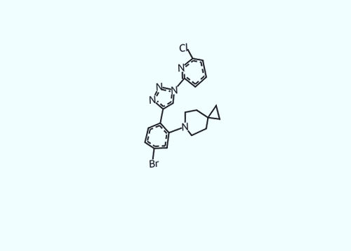 Clc1cccc(-n2cc(-c3ccc(Br)cc3N3CCC4(CC3)CC4)nn2)n1